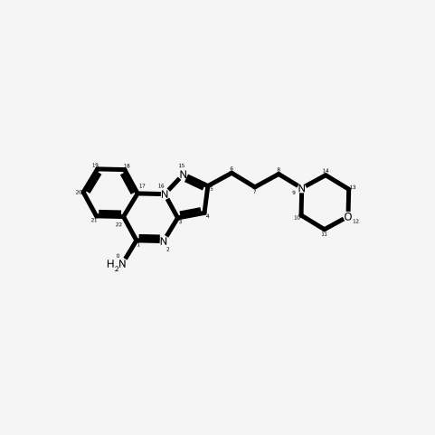 Nc1nc2cc(CCCN3CCOCC3)nn2c2ccccc12